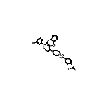 O=c1c(OC2CCCC2)c(N2CCN(S(=O)(=O)c3ccc(OC(F)F)cc3)CC2)cnn1-c1cccc(Cl)c1